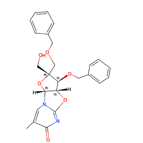 Cc1cn2c(nc1=O)O[C@@H]1[C@H]2O[C@](CO)(COCc2ccccc2)[C@H]1OCc1ccccc1